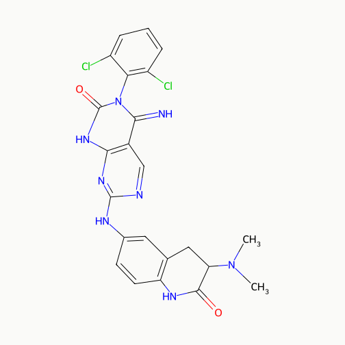 CN(C)C1Cc2cc(Nc3ncc4c(=N)n(-c5c(Cl)cccc5Cl)c(=O)[nH]c4n3)ccc2NC1=O